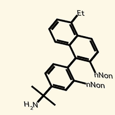 CCCCCCCCCc1cc(C(C)(C)N)ccc1-c1c(CCCCCCCCC)ccc2c(CC)cccc12